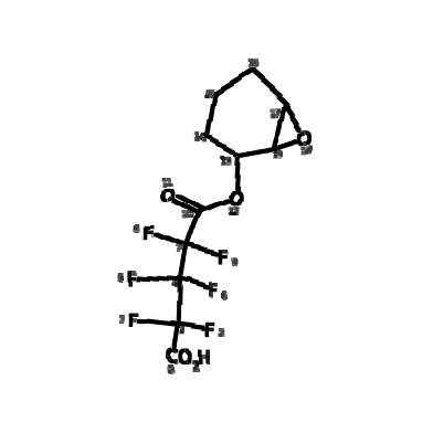 O=C(O)C(F)(F)C(F)(F)C(F)(F)C(=O)OC1CCCC2OC12